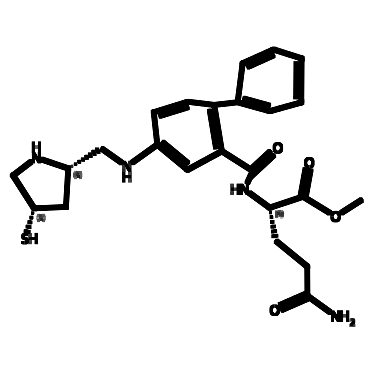 COC(=O)[C@H](CCC(N)=O)NC(=O)c1cc(NC[C@@H]2C[C@H](S)CN2)ccc1-c1ccccc1